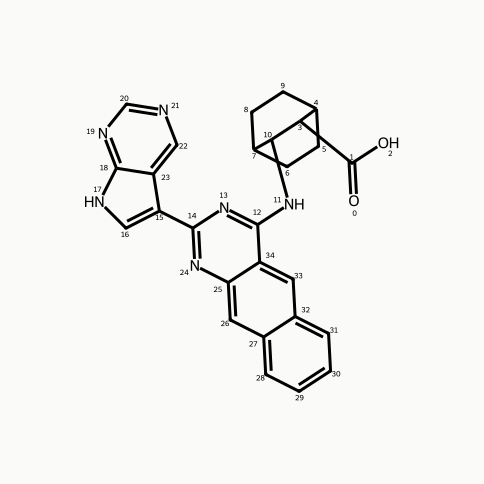 O=C(O)C1C2CCC(CC2)C1Nc1nc(-c2c[nH]c3ncncc23)nc2cc3ccccc3cc12